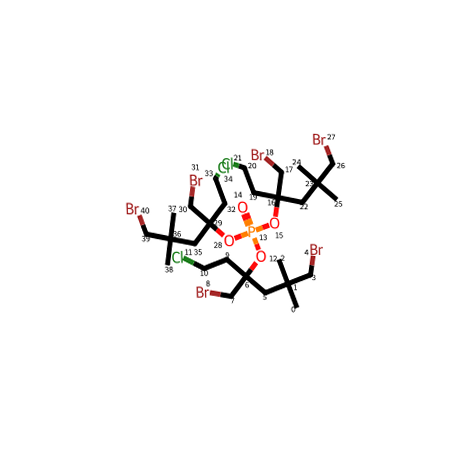 CC(C)(CBr)CC(CBr)(CCCl)OP(=O)(OC(CBr)(CCCl)CC(C)(C)CBr)OC(CBr)(CCCl)CC(C)(C)CBr